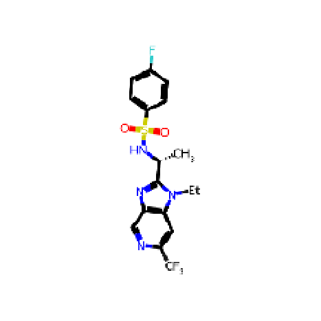 CCn1c([C@@H](C)NS(=O)(=O)c2ccc(F)cc2)nc2cnc(C(F)(F)F)cc21